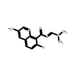 Cc1cnc2c(C(=O)N=CN(C)C)c(Cl)ccc2c1